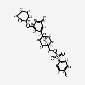 Cc1ccc(S(=O)(=O)OCC23CCC(c4cc(F)cc(OC5CCCCO5)c4)(CC2)OC3)cc1